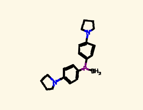 BP(c1ccc(N2CCCC2)cc1)c1ccc(N2CCCC2)cc1